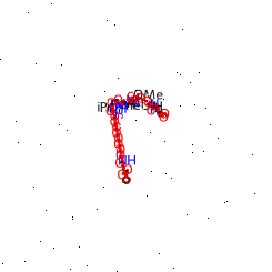 COc1cc2c(cc1OCCCOc1cc3c(cc1OC)C(=O)N1C=C(c4ccc5c(c4)OCO5)C[C@H]1C=N3)N=C[C@@H]1CC(c3ccc(NC(=O)[C@H](C)NC(=O)C(NC(=O)CCOCCOCCOCCOCCOCCOCCOCCOCCNC(=O)CCCCC4C(=O)CC(C5CCCCCCCC5)C4=O)C(C)C)cc3)=CN1C2=O